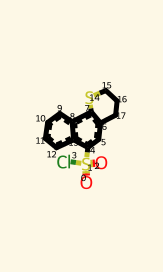 O=S(=O)(Cl)c1cc2c(c3ccccc13)SCCC2